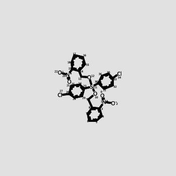 O=[N+]([O-])c1ccccc1CO[Si](OCc1ccccc1[N+](=O)[O-])(c1ccc(Cl)cc1)c1ccc(Cl)cc1